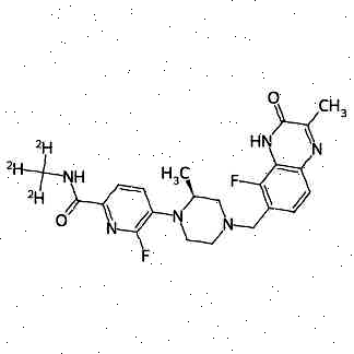 [2H]C([2H])([2H])NC(=O)c1ccc(N2CCN(Cc3ccc4nc(C)c(=O)[nH]c4c3F)C[C@@H]2C)c(F)n1